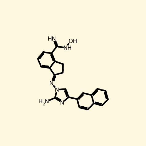 N=C(NO)c1cccc2c1CCC2=Nn1cc(-c2ccc3ccccc3c2)nc1N